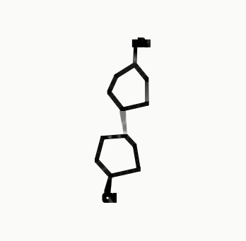 CCCCC1CCC([C@H]2CC[C@H](C#N)CC2)CC1